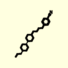 CCC[C@H]1CC[C@H](C2CCC(CCCCc3ccc(C#N)cc3)CC2)CC1